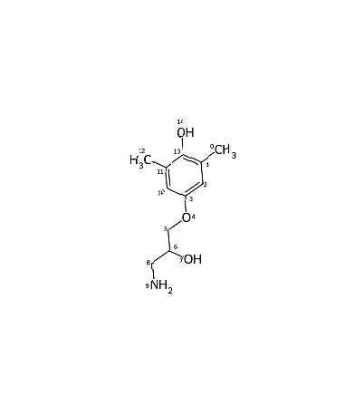 Cc1cc(OCC(O)CN)cc(C)c1O